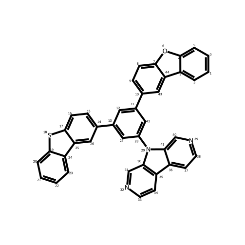 c1ccc2c(c1)oc1ccc(-c3cc(-c4ccc5sc6ccccc6c5c4)cc(-n4c5cnccc5c5ccncc54)c3)cc12